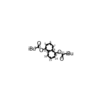 CCC(C)C(=O)Oc1cccc2c(OC(=O)C(C)CC)cccc12